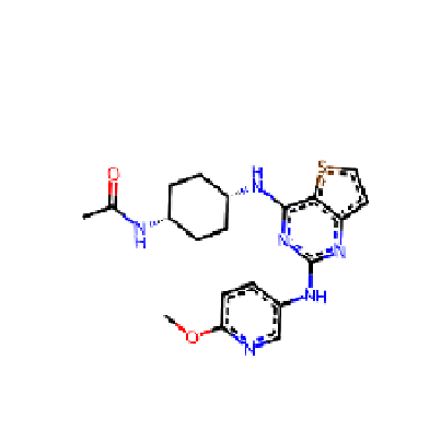 COc1ccc(Nc2nc(N[C@H]3CC[C@@H](NC(C)=O)CC3)c3sccc3n2)cn1